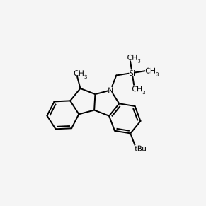 CC1C2C=CC=CC2C2c3cc(C(C)(C)C)ccc3N(C[Si](C)(C)C)C12